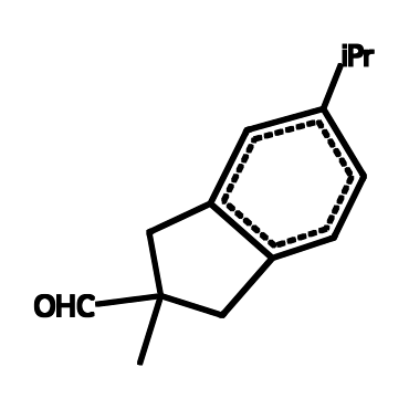 CC(C)c1ccc2c(c1)CC(C)(C=O)C2